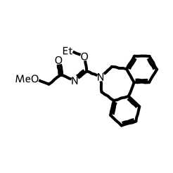 CCO/C(=N\C(=O)COC)N1Cc2ccccc2-c2ccccc2C1